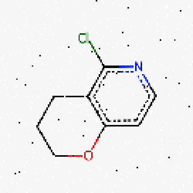 Clc1nccc2c1CCCO2